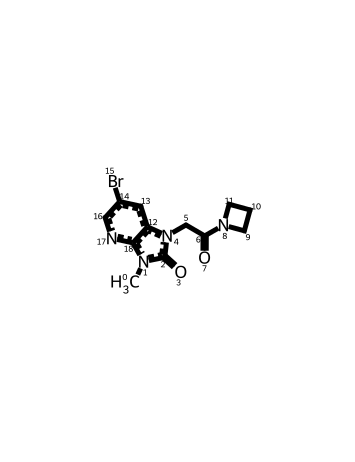 Cn1c(=O)n(CC(=O)N2CCC2)c2cc(Br)cnc21